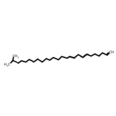 [CH]=CCCCCCCCCCCCCCCCCCCCCCCC([CH2])C